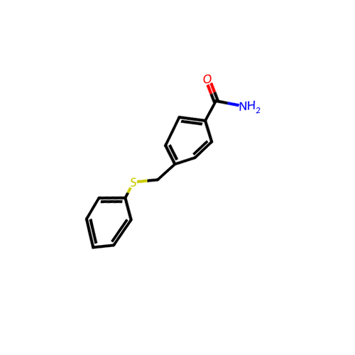 NC(=O)c1ccc(CSc2ccccc2)cc1